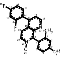 Cc1cc(O)ccc1-c1c2nccc(-c3ccc(F)cc3F)c2cc[n+]1[O-]